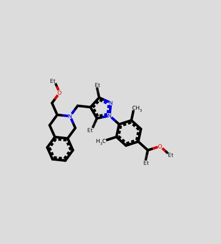 CCOCC1Cc2ccccc2CN1Cc1c(CC)nn(-c2c(C)cc(C(CC)OCC)cc2C)c1CC